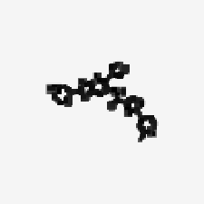 Cc1cc(-c2nc(C(=O)Nc3cc4oc(C5CNCCO5)nc4nc3-c3ccoc3)co2)ccn1